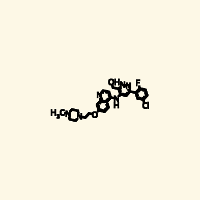 CN1CCN(CCOc2ccc3c(Nc4cc(-c5cc(Cl)ccc5F)nnc4CO)ccnc3c2)CC1